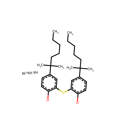 CCCCCC(C)(C)c1ccc([O-])c(Sc2cc(C(C)(C)CCCCC)ccc2[O-])c1.[KH].[KH].[Ni+2]